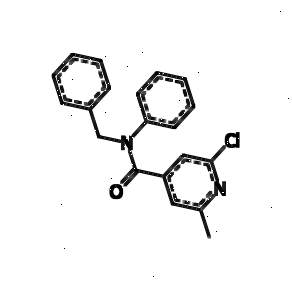 Cc1cc(C(=O)N(Cc2ccccc2)c2ccccc2)cc(Cl)n1